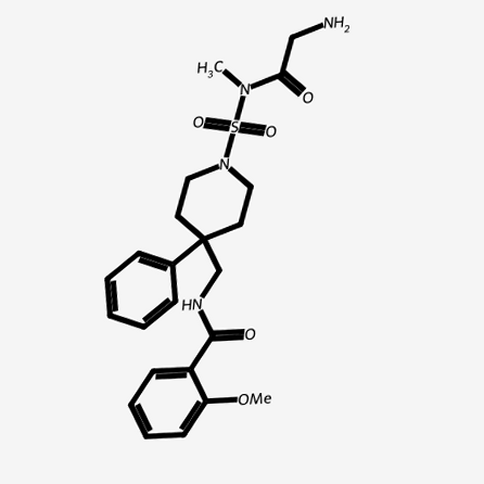 COc1ccccc1C(=O)NCC1(c2ccccc2)CCN(S(=O)(=O)N(C)C(=O)CN)CC1